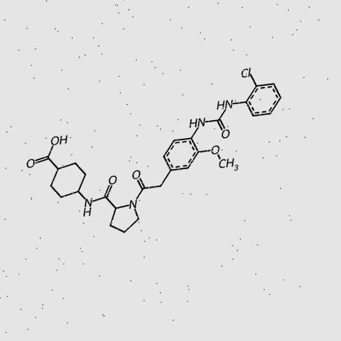 COc1cc(CC(=O)N2CCCC2C(=O)NC2CCC(C(=O)O)CC2)ccc1NC(=O)Nc1ccccc1Cl